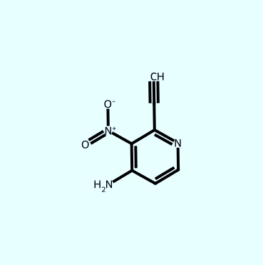 C#Cc1nccc(N)c1[N+](=O)[O-]